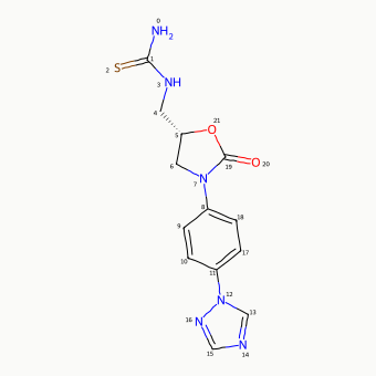 NC(=S)NC[C@H]1CN(c2ccc(-n3cncn3)cc2)C(=O)O1